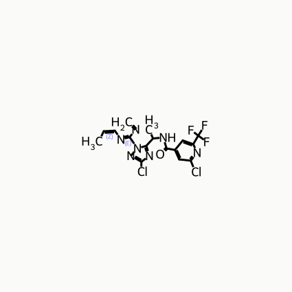 C=N/C(=N\C=C/C)n1nc(Cl)nc1C(C)NC(=O)c1cc(Cl)nc(C(F)(F)F)c1